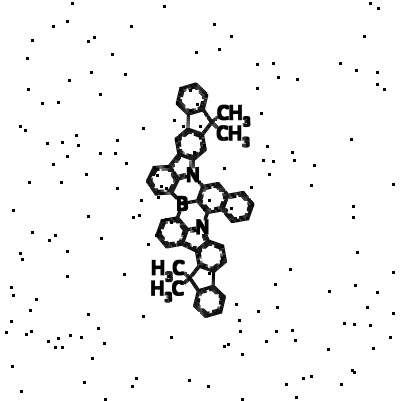 CC1(C)c2ccccc2-c2cc3c4cccc5c4n(c3cc21)-c1cc2ccccc2c2c1B5c1cccc3c4c5c(ccc4n-2c13)-c1ccccc1C5(C)C